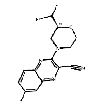 Cc1ccc2nc(N3CCO[C@H](C(F)F)C3)c(C#N)nc2c1